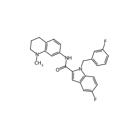 CN1CCCc2ccc(NC(=O)c3cc4cc(F)ccc4n3Cc3cccc(F)c3)cc21